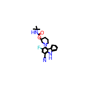 CC(C)(C)NC(=O)O[C@H]1CCCN(c2c(F)cc(C#N)c3[nH]c4ccccc4c23)C1